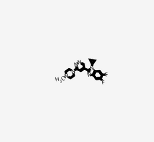 CN1CCN(c2cc(-c3nc4cc(F)c(F)cc4n3C3CC3)cnn2)CC1